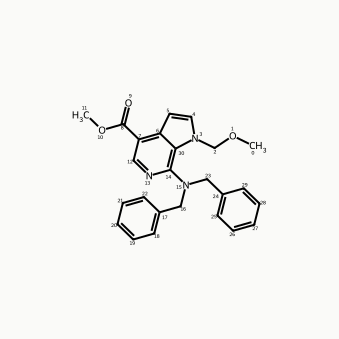 COCn1ccc2c(C(=O)OC)cnc(N(Cc3ccccc3)Cc3ccccc3)c21